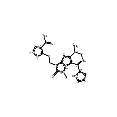 Cn1c(=O)n(CCc2n[nH]cc2C(=O)O)c2nc3c(n21)C(c1ccco1)=NCN3N